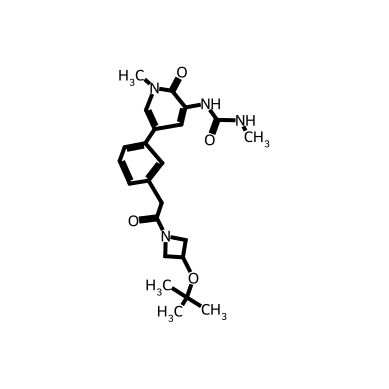 CNC(=O)Nc1cc(-c2cccc(CC(=O)N3CC(OC(C)(C)C)C3)c2)cn(C)c1=O